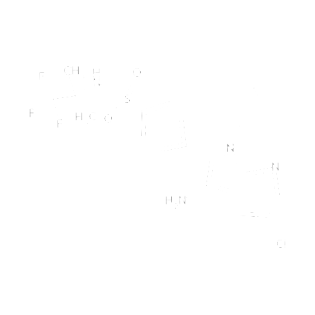 CC(C)(NS(=O)(=O)c1ccc(-c2c(N)c3cc(Cl)cnc3n2C2CCC2)cc1)C(F)(F)F